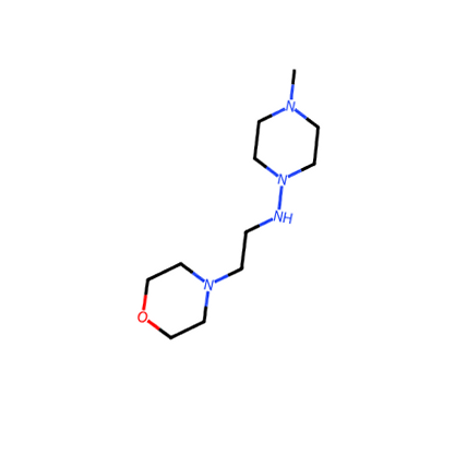 CN1CCN(NCCN2CCOCC2)CC1